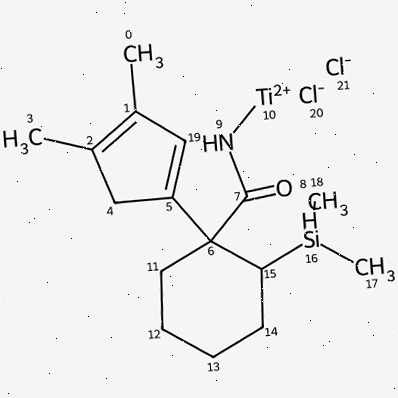 CC1=C(C)CC(C2(C(=O)[NH][Ti+2])CCCCC2[SiH](C)C)=C1.[Cl-].[Cl-]